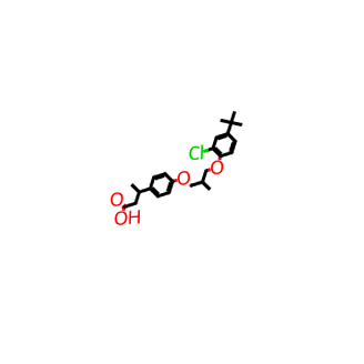 CC(COc1ccc(C(C)CC(=O)O)cc1)COc1ccc(C(C)(C)C)cc1Cl